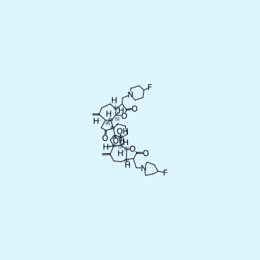 C=C1CC[C@H]2C(CN3CCC(F)CC3)C(=O)O[C@@H]2[C@@H]2[C@H]1C[C@@]1(O)[C@]2(O)CCC[C@]12C(=O)C[C@H]1C(=C)CC[C@H]3C(CN4CCC(F)CC4)C(=O)O[C@@H]3[C@H]12